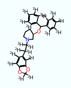 [2H]c1c([2H])c([2H])c(C(O[C@@H]2CCCN(C([2H])([2H])C([2H])([2H])c3c([2H])c([2H])c4c(c3[2H])OC([2H])([2H])O4)C2)c2c([2H])c([2H])c([2H])c([2H])c2[2H])c([2H])c1[2H]